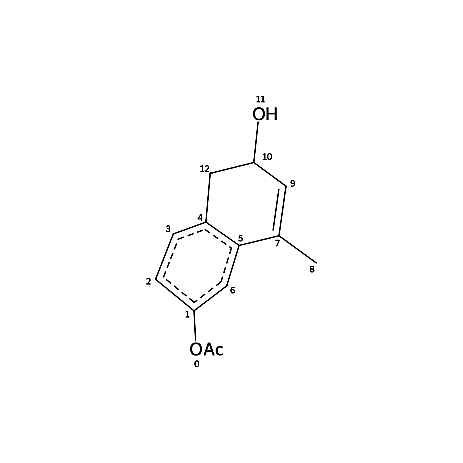 CC(=O)Oc1ccc2c(c1)C(C)=CC(O)C2